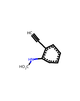 C#Cc1ccccc1NC(=O)O